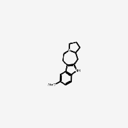 COc1ccc2[nH]c3c(c2c1)CCN1CCCC1C3